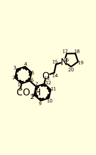 O=C(O)c1ccccc1-c1ccccc1OCCN1CCCC1